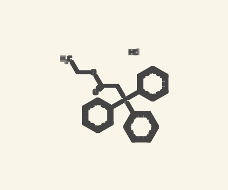 CCOC(=O)C[P](c1ccccc1)(c1ccccc1)c1ccccc1.Cl